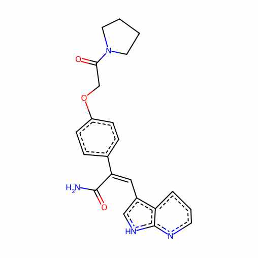 NC(=O)/C(=C\c1c[nH]c2ncccc12)c1ccc(OCC(=O)N2CCCC2)cc1